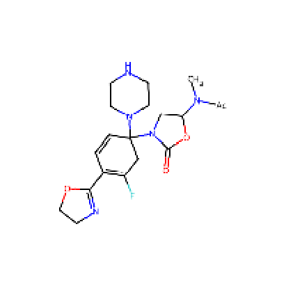 CC(=O)N(C)C1CN(C2(N3CCNCC3)C=CC(C3=NCCO3)=C(F)C2)C(=O)O1